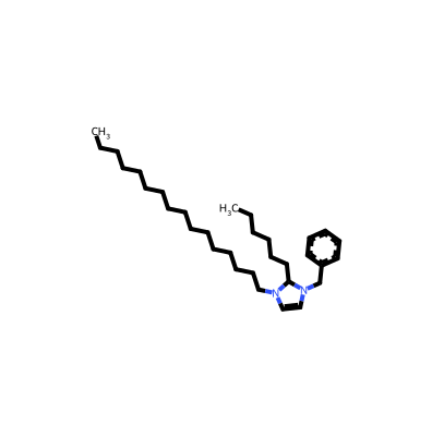 CCCCCCCCCCCCCCCCN1C=CN(Cc2ccccc2)C1CCCCCC